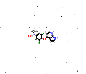 CON(O)c1cc(F)c(Oc2ccnc3[nH]ccc23)c(F)c1